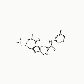 C[C@@H]1Cc2nn3c(c2CN1C(=O)Nc1ccc(F)c(Cl)c1)C(=O)N(C)OC(CN(C)C)C3